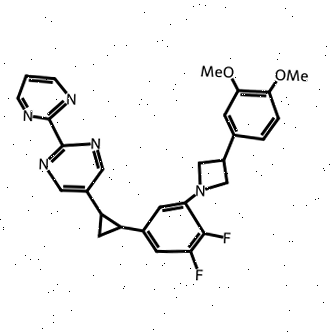 COc1ccc(C2CN(c3cc(C4CC4c4cnc(-c5ncccn5)nc4)cc(F)c3F)C2)cc1OC